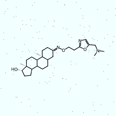 CN(C)Cc1cnc(CCON=C2CC[C@@]3(C)C(CCC4C3CC[C@@]3(C)C4CC[C@@H]3O)C2)o1